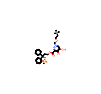 C[Si](C)(C)CCOCn1cc(O)c(=O)c(C(=O)OCCC(OS(C)(=O)=O)(c2ccccc2)c2ccccc2)n1